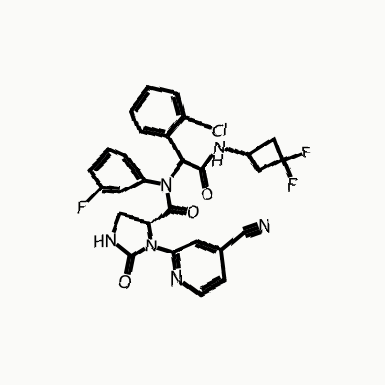 N#Cc1ccnc(N2C(=O)NC[C@H]2C(=O)N(c2cccc(F)c2)C(C(=O)NC2CC(F)(F)C2)c2ccccc2Cl)c1